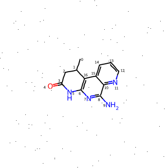 CC1CC(=O)Nc2nc(N)c3ncccc3c21